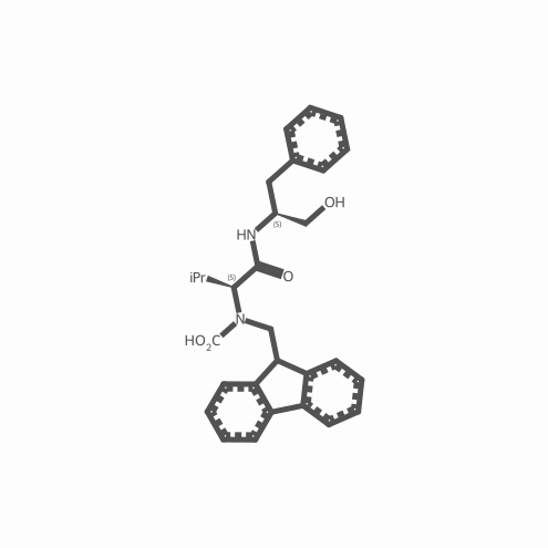 CC(C)[C@@H](C(=O)N[C@H](CO)Cc1ccccc1)N(CC1c2ccccc2-c2ccccc21)C(=O)O